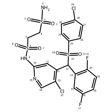 NS(=O)(=O)CCS(=O)(=O)Nc1cc(C(c2cc(F)ccc2F)S(=O)(=O)c2ccc(Cl)cc2)c(Cl)cn1